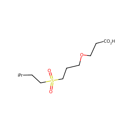 CC(C)CCS(=O)(=O)CCCOCCC(=O)O